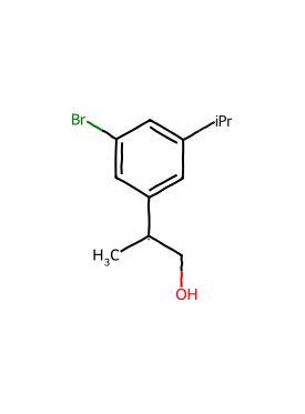 C[C](CO)c1cc(Br)cc(C(C)C)c1